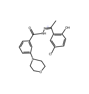 C/C(=N/NC(=O)c1cccc(N2CCOCC2)c1)c1cc(Cl)ccc1O